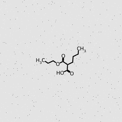 CCCCC(C(=O)O)C(=O)OCCC